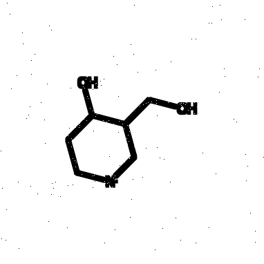 OCC1C[N]CCC1O